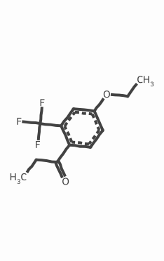 CCOc1ccc(C(=O)CC)c(C(F)(F)F)c1